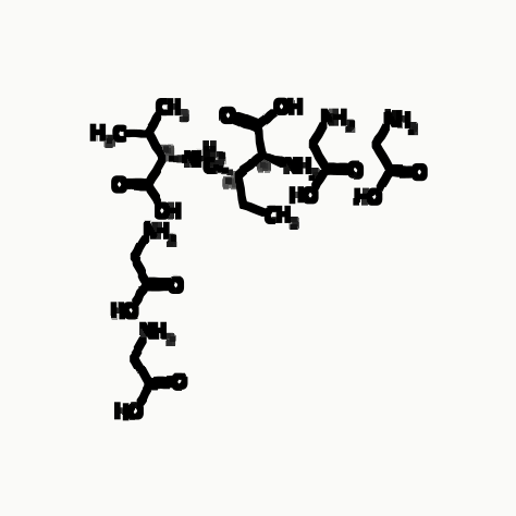 CC(C)[C@H](N)C(=O)O.CC[C@H](C)[C@H](N)C(=O)O.NCC(=O)O.NCC(=O)O.NCC(=O)O.NCC(=O)O